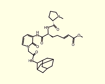 COC(=O)/C=C/CC[C@H](NC(=O)[C@@H]1CCCN1C)C(=O)Nc1cccn(CC(=O)NC2C3CC4CC(C3)CC2C4)c1=O